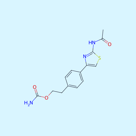 CC(=O)Nc1nc(-c2ccc(CCOC(N)=O)cc2)cs1